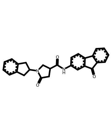 O=C1c2ccccc2-c2ccc(NC(=O)C3CC(=O)N(C4Cc5ccccc5C4)C3)cc21